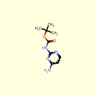 CC(C)(C)OC(=O)Nc1nccc(N)n1